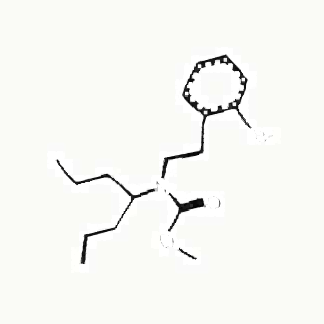 CCCC(CCC)N(CCc1ccccc1Br)C(=O)OC